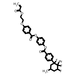 C=CC(=O)OCCOc1ccc(C(=O)Oc2ccc(OC(=O)c3ccc(C4(F)CC(C)CC(F)C4(F)C(C)C)cc3)cc2)cc1